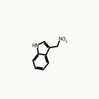 O=[N+]([O-])Cc1c[nH]c2ccccc12